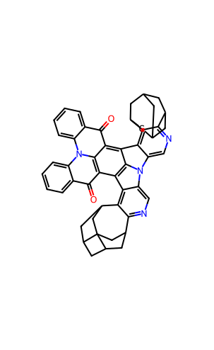 O=c1c2ccccc2n2c3ccccc3c(=O)c3c4c5c6c(ncc5n5c7cnc8c(c7c(c1c32)c45)C1CC2CC(CC8C2)C1)C1CC2CC3CC6CC23C1